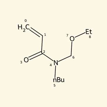 C=CC(=O)N(CCCC)COCC